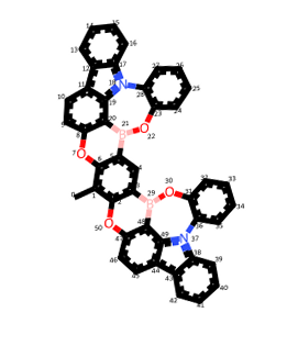 Cc1c2c(cc3c1Oc1ccc4c5ccccc5n5c4c1B3Oc1ccccc1-5)B1Oc3ccccc3-n3c4ccccc4c4ccc(c1c43)O2